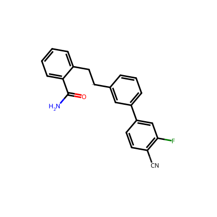 N#Cc1ccc(-c2cccc([CH]Cc3ccccc3C(N)=O)c2)cc1F